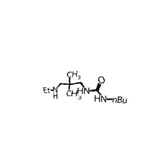 CCCCNC(=O)NCC(C)(C)CNCC